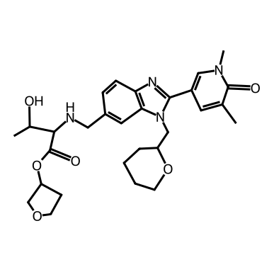 Cc1cc(-c2nc3ccc(CNC(C(=O)OC4CCOC4)C(C)O)cc3n2CC2CCCCO2)cn(C)c1=O